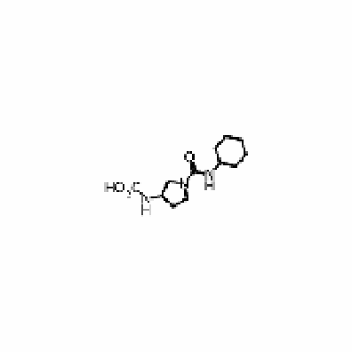 O=C(O)NC1CCN(C(=O)NC2CCCCC2)C1